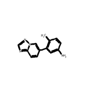 Cc1ccc(N)cc1-c1ccc2ncnn2c1